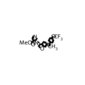 COC(=O)c1ccncc1NC[C@@H]1CCOc2cc(N(C)c3ccc(OC(F)(F)F)cc3)ccc21